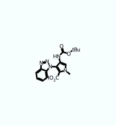 Cn1cc(NC(=O)OC(C)(C)C)c(-n2nnc3ccccc32)c1C(=O)O